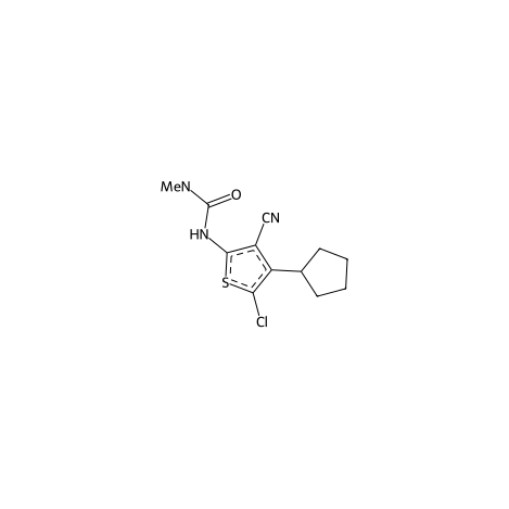 CNC(=O)Nc1sc(Cl)c(C2CCCC2)c1C#N